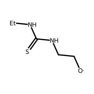 CCNC(=S)NCC[O]